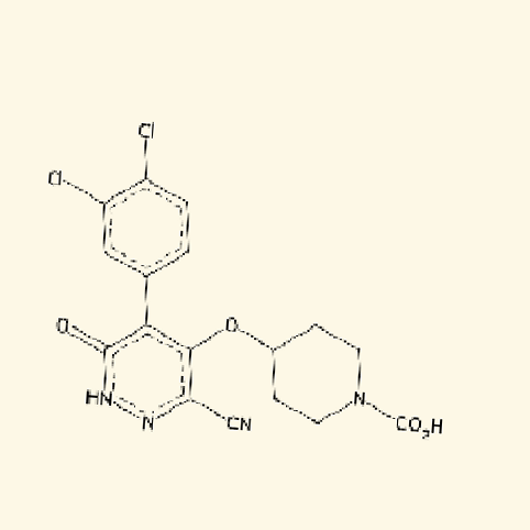 N#Cc1n[nH]c(=O)c(-c2ccc(Cl)c(Cl)c2)c1OC1CCN(C(=O)O)CC1